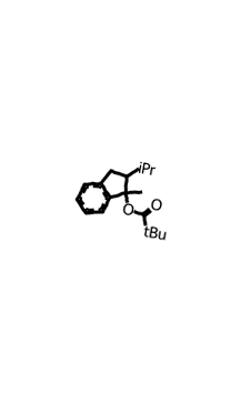 CC(C)C1Cc2ccccc2C1(C)OC(=O)C(C)(C)C